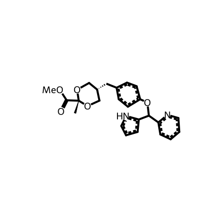 COC(=O)[C@]1(C)OC[C@H](Cc2ccc(OC(c3ccccn3)c3ccc[nH]3)cc2)CO1